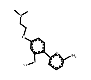 CCCOc1cc(OCCN(C)C)ccc1-c1cccc(N)n1